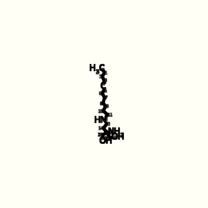 CCCCCCCCCCCCNCCC(N)(CO)CO